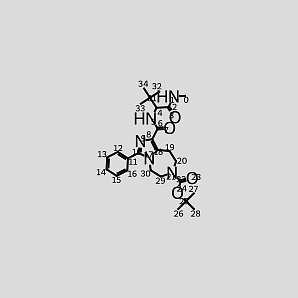 CNC(=O)C(NC(=O)c1nc(-c2ccccc2)n2c1CCN(C(=O)OC(C)(C)C)CC2)C(C)(C)C